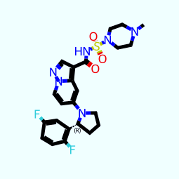 CN1CCN(S(=O)(=O)NC(=O)c2cnn3ccc(N4CCC[C@@H]4c4cc(F)ccc4F)cc23)CC1